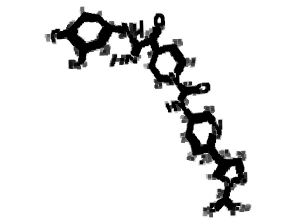 N=C(Nc1ccc(F)c(Br)c1)C(=O)C1CCN(C(=O)Nc2ccc(-c3cnn(C(F)F)c3)nc2)CC1